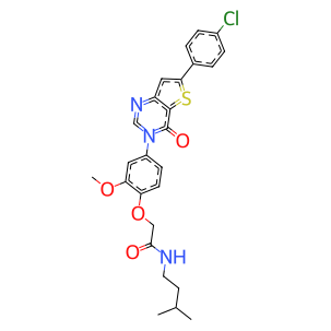 COc1cc(-n2cnc3cc(-c4ccc(Cl)cc4)sc3c2=O)ccc1OCC(=O)NCCC(C)C